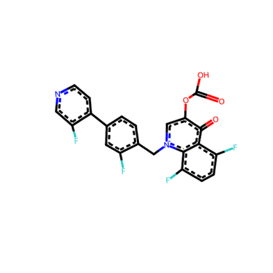 O=C(O)Oc1cn(Cc2ccc(-c3ccncc3F)cc2F)c2c(F)ccc(F)c2c1=O